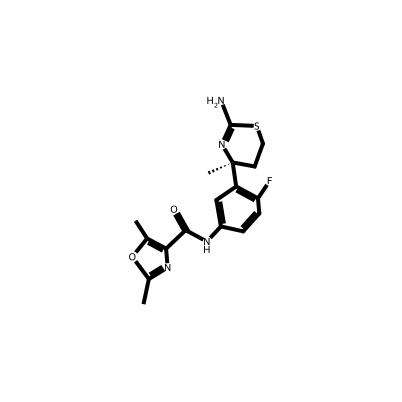 Cc1nc(C(=O)Nc2ccc(F)c([C@]3(C)CCSC(N)=N3)c2)c(C)o1